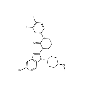 CO[C@H]1CC[C@H](n2c(C3CCCN(c4ccc(F)c(F)c4)C3=O)nc3cc(Br)ccc32)CC1